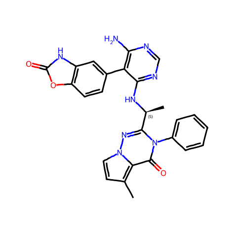 Cc1ccn2nc([C@H](C)Nc3ncnc(N)c3-c3ccc4oc(=O)[nH]c4c3)n(-c3ccccc3)c(=O)c12